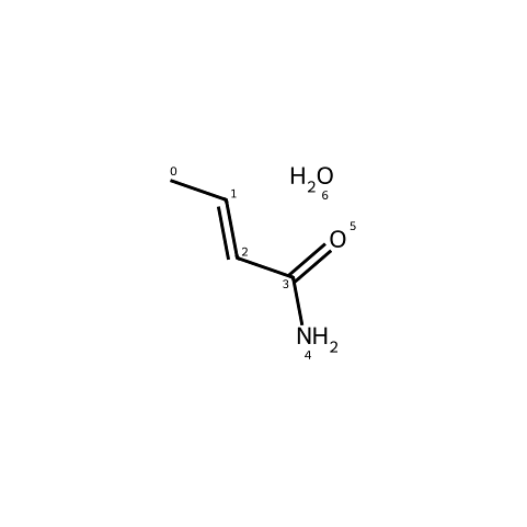 CC=CC(N)=O.O